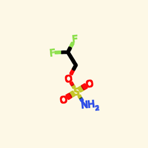 NS(=O)(=O)OCC(F)F